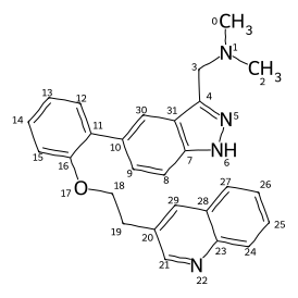 CN(C)Cc1n[nH]c2ccc(-c3ccccc3OCCc3cnc4ccccc4c3)cc12